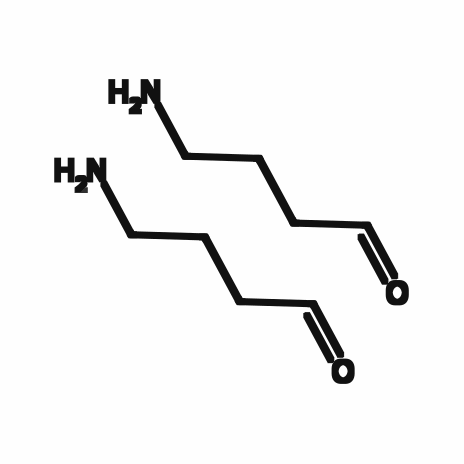 NCCCC=O.NCCCC=O